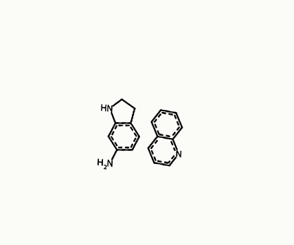 Nc1ccc2c(c1)NCC2.c1ccc2ncccc2c1